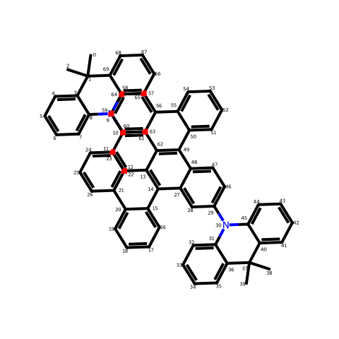 CC1(C)c2ccccc2N(c2ccc3c(-c4ccccc4-c4ccccc4)c4cc(N5c6ccccc6C(C)(C)c6ccccc65)ccc4c(-c4ccccc4-c4ccccc4)c3c2)c2ccccc21